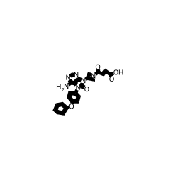 Nc1ncnc2c1n(-c1ccc(Oc3ccccc3)cc1)c(=O)n2C1CN(C(=O)C=CC(=O)O)C1